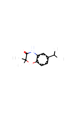 CC(C)c1ccc2c(c1)NC(=O)C(C)(C)O2